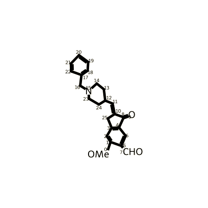 COc1cc2c(cc1C=O)C(=O)C(=CC1CCN(Cc3ccccc3)CC1)C2